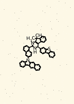 CC1(C)C2=C(c3ccccc31)C(c1ccc3c(c1)sc1ccccc13)NC(c1cccc3cc(-n4c5ccccc5c5cc6ccccc6cc54)ccc13)=N2